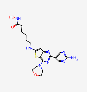 Nc1ncc(-c2nc(N3CCOCC3)c3sc(NCCCCCC(=O)NO)cc3n2)cn1